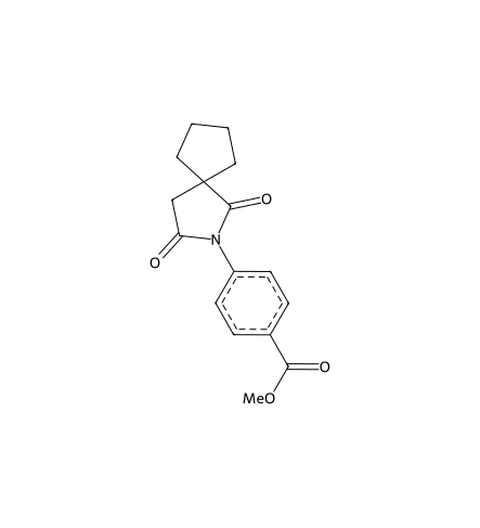 COC(=O)c1ccc(N2C(=O)CC3(CCCC3)C2=O)cc1